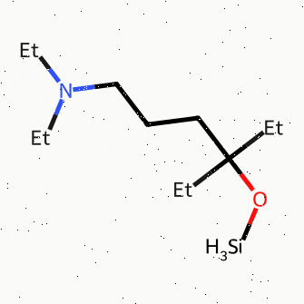 CCN(CC)CCCC(CC)(CC)O[SiH3]